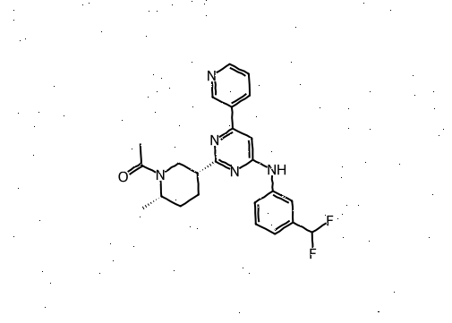 CC(=O)N1C[C@H](c2nc(Nc3cccc(C(F)F)c3)cc(-c3cccnc3)n2)CC[C@@H]1C